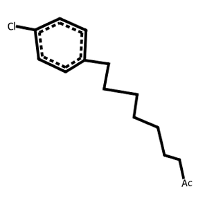 CC(=O)CCCCCCCc1ccc(Cl)cc1